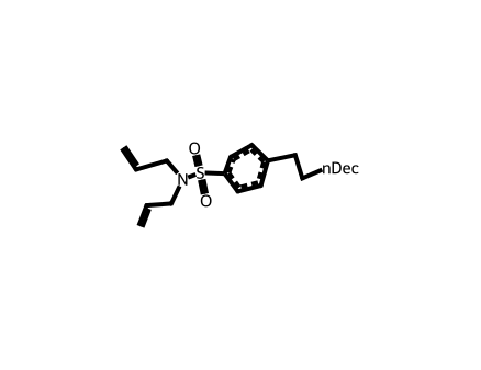 C=CCN(CC=C)S(=O)(=O)c1ccc(CCCCCCCCCCCC)cc1